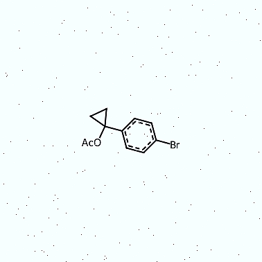 CC(=O)OC1(c2ccc(Br)cc2)CC1